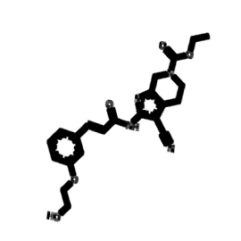 CCOC(=O)N1CCc2c(sc(NC(=O)/C=C/c3cccc(OCCO)c3)c2C#N)C1